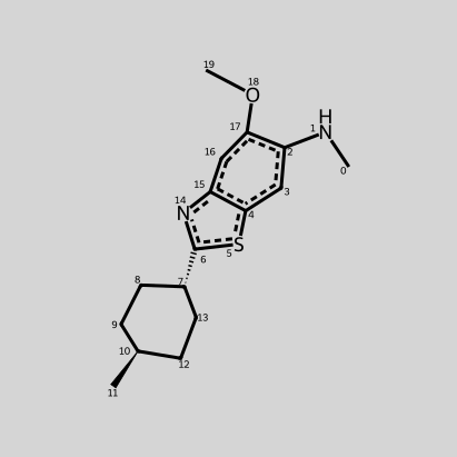 CNc1cc2sc([C@H]3CC[C@H](C)CC3)nc2cc1OC